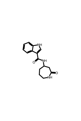 O=C1CC(NC(=O)c2c[nH]c3ccccc23)CCCN1